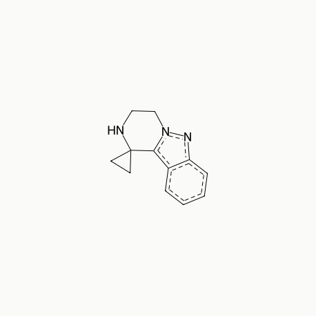 c1ccc2c3n(nc2c1)CCNC31CC1